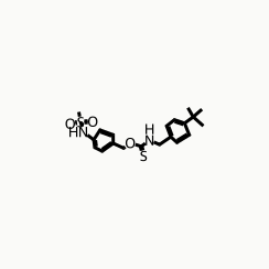 CC(C)(C)c1ccc(CNC(=S)OCc2ccc(NS(C)(=O)=O)cc2)cc1